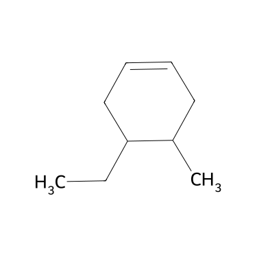 CCC1CC=CCC1C